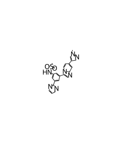 Cn1cc(-c2ccn3c(-c4cc(NS(C)(=O)=O)cc(-c5ncccn5)c4)cnc3c2)cn1